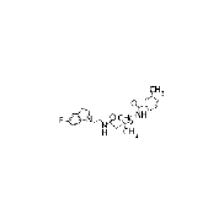 Cc1cccc(C(=O)NCCC(C)(C)CC(=O)NCCN2CCc3cc(F)ccc32)c1